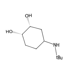 CC(C)(C)NC1CC[C@H](O)[C@H](O)C1